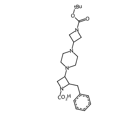 CC(C)(C)OC(=O)N1CC(N2CCN(C3CN(C(=O)O)C3Cc3ccccc3)CC2)C1